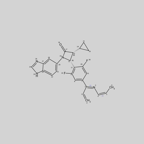 C=C/C(=N\C=C/C)c1cc(F)c([C@H]2[C@@H](C3CC3)C(=O)N2c2ccc3[nH]cnc3c2)c(F)c1